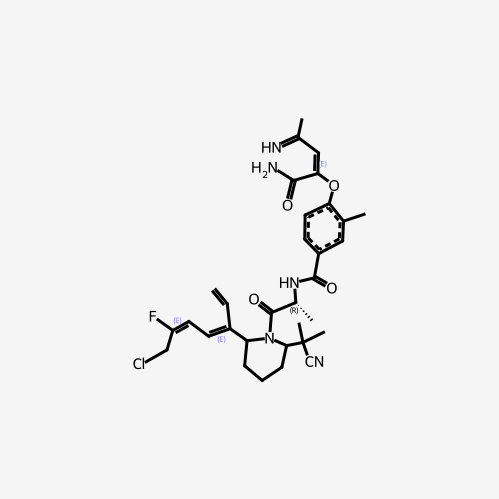 C=C/C(=C\C=C(\F)CCl)C1CCCC(C(C)(C)C#N)N1C(=O)[C@@H](C)NC(=O)c1ccc(O/C(=C/C(C)=N)C(N)=O)c(C)c1